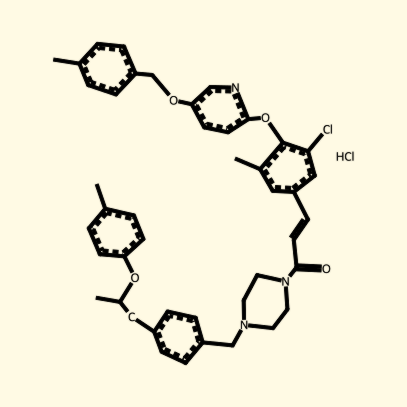 Cc1ccc(COc2ccc(Oc3c(C)cc(C=CC(=O)N4CCN(Cc5ccc(CC(C)Oc6ccc(C)cc6)cc5)CC4)cc3Cl)nc2)cc1.Cl